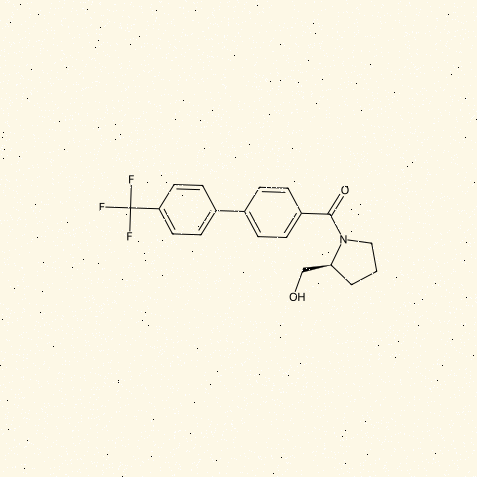 O=C(c1ccc(-c2ccc(C(F)(F)F)cc2)cc1)N1CCC[C@H]1CO